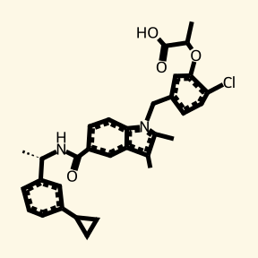 Cc1c(C)n(Cc2ccc(Cl)c(OC(C)C(=O)O)c2)c2ccc(C(=O)N[C@@H](C)c3cccc(C4CC4)c3)cc12